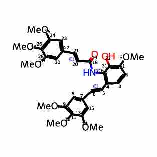 COc1ccc(/C=C/c2cc(OC)c(OC)c(OC)c2)c(NC(=O)/C=C/c2cc(OC)c(OC)c(OC)c2)c1O